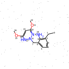 CCc1cccc(CN2N=C(OC)C=C(OC)N2)c1N